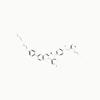 CCCCOCCOc1ccc(-c2ccc(N(C)Cc3cnn(C)c3)c(/C=C/C(=O)Nc3ccc([S+]([O-])Cc4cncn4CCC)cc3)c2)cc1